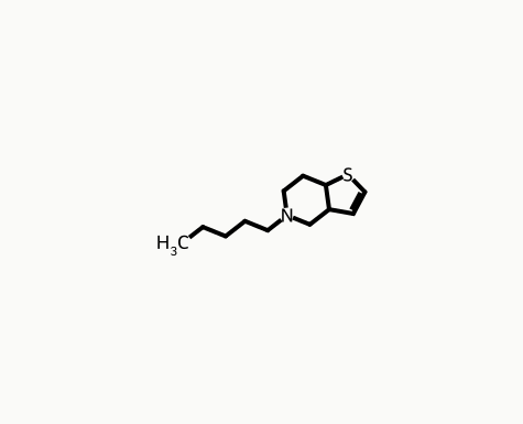 CCCCCN1CCC2SC=CC2C1